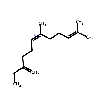 C=C(CC)CC/C=C(/C)CCC=C(C)C